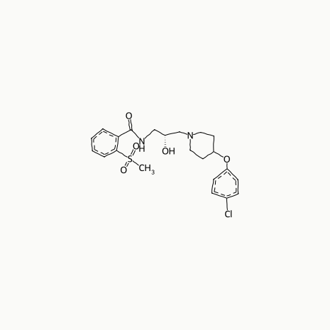 CS(=O)(=O)c1ccccc1C(=O)NC[C@@H](O)CN1CCC(Oc2ccc(Cl)cc2)CC1